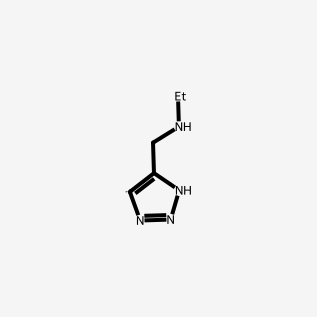 CCNCc1[c]nn[nH]1